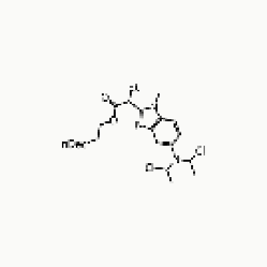 CCCCCCCCCCCCOC(=O)C(CC)c1nc2cc(N(C(C)Cl)C(C)Cl)ccc2n1C